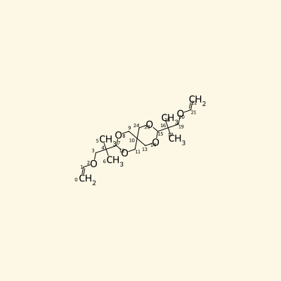 C=COCC(C)(C)C1OCC2(CO1)COC(C(C)(C)COC=C)OC2